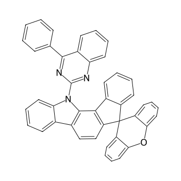 c1ccc(-c2nc(-n3c4ccccc4c4ccc5c(c43)-c3ccccc3C53c4ccccc4Oc4ccccc43)nc3ccccc23)cc1